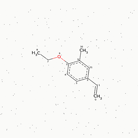 C=[C]c1ccc(OCC)c(C)c1